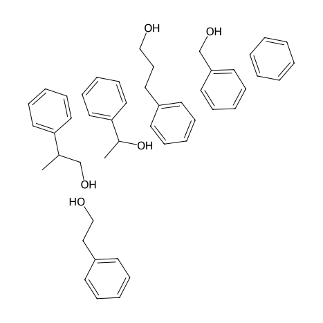 CC(CO)c1ccccc1.CC(O)c1ccccc1.OCCCc1ccccc1.OCCc1ccccc1.OCc1ccccc1.c1ccccc1